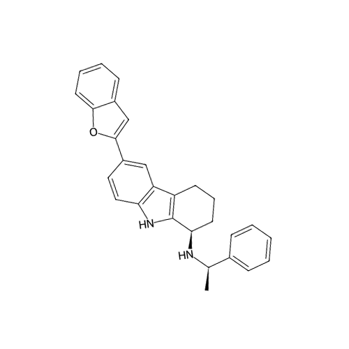 C[C@@H](N[C@@H]1CCCc2c1[nH]c1ccc(-c3cc4ccccc4o3)cc21)c1ccccc1